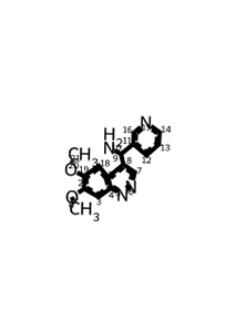 COc1cc2nncc(C(N)c3cccnc3)c2cc1OC